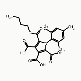 CCCCOC(=O)c1c(C(=O)O)c(C(=O)O)c(C(=O)O)n1-c1c(C)cc(C)cc1C